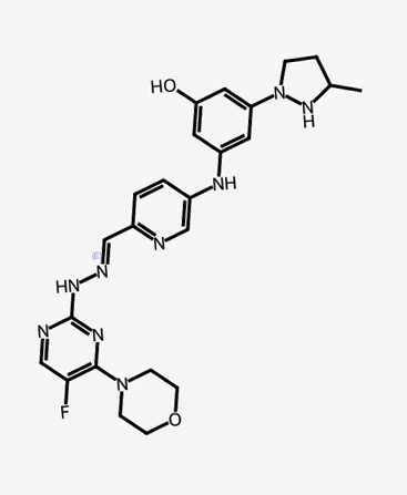 CC1CCN(c2cc(O)cc(Nc3ccc(/C=N/Nc4ncc(F)c(N5CCOCC5)n4)nc3)c2)N1